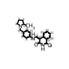 CC1CCCN1Cc1ccc(NC=C2C(=O)NC(=O)c3ccccc32)cc1